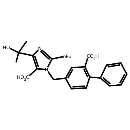 CCCCc1nc(C(C)(C)O)c(C(=O)O)n1Cc1ccc(-c2ccccc2)c(C(=O)O)c1